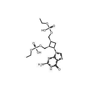 CCOP(=O)(O)OC[C@H]1C[C@@H](n2cnc3c(=O)[nH]c(N)nc32)[C@H]1COP(=O)(O)OCC